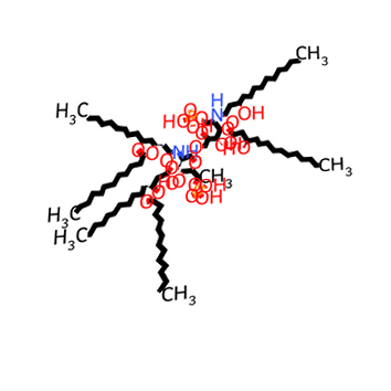 CCCCCCCCCCCCCC(=O)O[C@H](CCCCCCCCCCC)CC(=O)OC[C@H](NC(=O)C[C@@H](CCCCCCCCCCC)OC(=O)CCCCCCCCCCC)[C@H](OCC1O[C@H](OP(=O)(O)O)C(NC(=O)C[C@H](O)CCCCCCCCCCC)[C@@H](OC(=O)C[C@H](O)CCCCCCCCCCC)[C@@H]1O)OC(CO)[C@H](C)OP(=O)(O)O